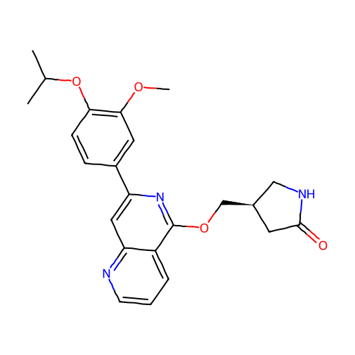 COc1cc(-c2cc3ncccc3c(OC[C@H]3CNC(=O)C3)n2)ccc1OC(C)C